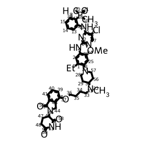 CCc1cc(Nc2ncc(Cl)c(Nc3ccccc3P(C)(C)=O)n2)c(OC)cc1N1CCC(N(C)CCCCOc2cccc3c2CN(C2CCC(=O)NC2=O)C3=O)CC1